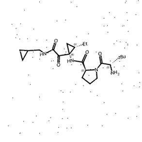 CC[C@H]1C[C@]1(NC(=O)[C@@H]1CCCN1C(=O)[C@@H](N)C(C)(C)C)C(=O)C(=O)NCC1CC1